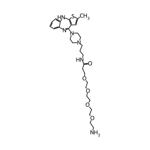 Cc1cc2c(s1)Nc1ccccc1N=C2N1CCN(CCCNC(=O)CCOCCOCCOCCOCCN)CC1